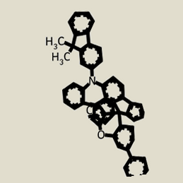 CC1(C)c2ccccc2-c2ccc(N(c3ccc4c(c3)C3(c5ccccc5Oc5cc(-c6ccccc6)ccc53)c3ccccc3-4)c3ccccc3-c3ccccc3)cc21